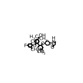 Cc1cc(F)cc(C)c1Oc1ccc(C(C)(C)O)cc1-c1cn(C)c(=O)cc1O[C@H]1CC[C@H](N2NCCC2=O)CC1